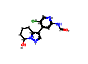 O=CNc1cc(-c2cnn3c2CCCC3O)c(Cl)cn1